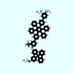 COc1ccc(C2(c3ccc(Oc4ccc(-c5ccc(-c6c(-c7ccccc7)c(-c7ccccc7)c(-c7ccc(-c8ccc(C)c(C)c8)cc7)c(-c7ccccc7)c6-c6ccccc6)cc5)cc4C(F)(F)F)cc3)c3ccccc3-c3ccccc32)cc1